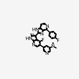 CN(C)c1cncc(-c2cnc3[nH]nc(-c4nc5c(-c6ccc(F)cc6)nccc5[nH]4)c3c2F)c1